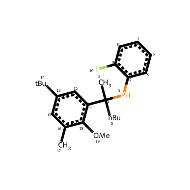 CCCCC(C)(Pc1ccccc1F)c1cc(C(C)(C)C)cc(C)c1OC